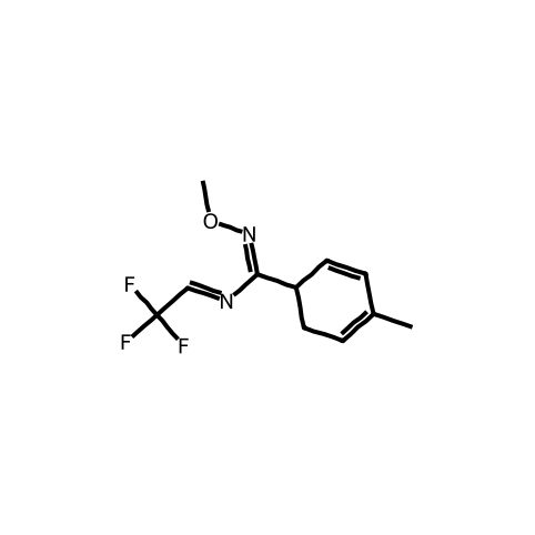 CO/N=C(\N=C\C(F)(F)F)C1C=CC(C)=CC1